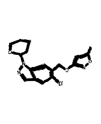 Cc1cc(OCc2cc3c(cnn3C3CCCCO3)cc2Cl)no1